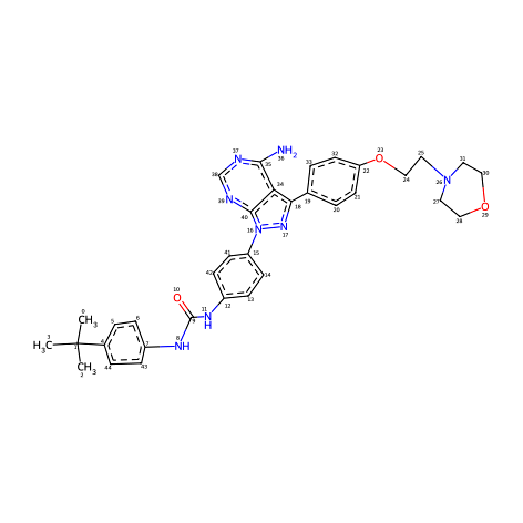 CC(C)(C)c1ccc(NC(=O)Nc2ccc(-n3nc(-c4ccc(OCCN5CCOCC5)cc4)c4c(N)ncnc43)cc2)cc1